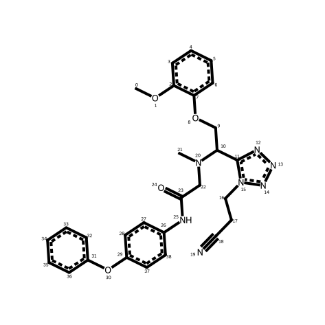 COc1ccccc1OCC(c1nnnn1CCC#N)N(C)CC(=O)Nc1ccc(Oc2ccccc2)cc1